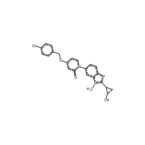 Cn1c(C2CC2C#N)nc2ccc(-n3ccc(OCc4ccc(Cl)cc4)cc3=O)cc21